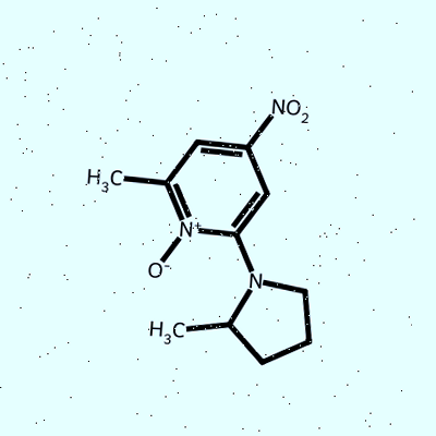 Cc1cc([N+](=O)[O-])cc(N2CCCC2C)[n+]1[O-]